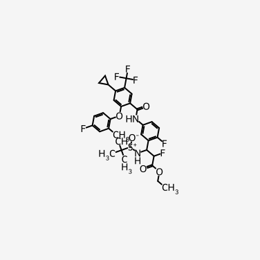 CCOC(=O)C(F)C(N[S+]([O-])C(C)(C)C)c1cc(NC(=O)c2cc(C(F)(F)F)c(C3CC3)cc2Oc2ccc(F)cc2C)ccc1F